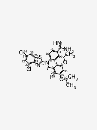 CCOc1cc(CN(c2ccc(C(=N)N)cc2)c2nc3c(Cl)cc(Cl)cc3s2)c(F)c(OC(C)C)c1